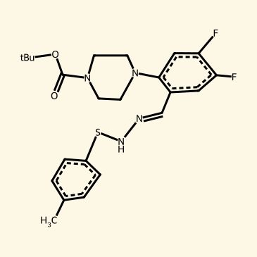 Cc1ccc(SN/N=C/c2cc(F)c(F)cc2N2CCN(C(=O)OC(C)(C)C)CC2)cc1